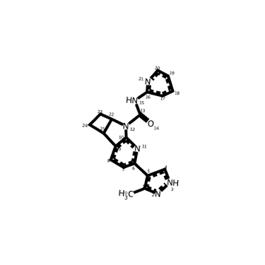 Cc1n[nH]cc1-c1ccc2c(n1)N(C(=O)Nc1ccccn1)C1CCC21